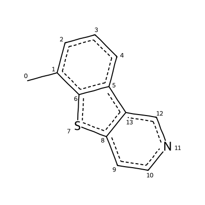 Cc1cccc2c1sc1ccncc12